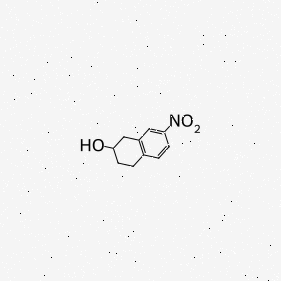 O=[N+]([O-])c1ccc2c(c1)CC(O)CC2